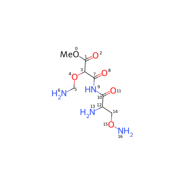 COC(=O)C(OCN)C(=O)NC(=O)C(N)CON